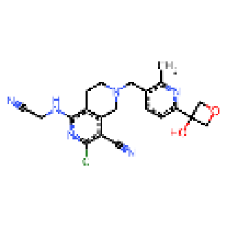 Cc1nc(C2(O)COC2)ccc1CN1CCc2c(NCC#N)nc(Cl)c(C#N)c2C1